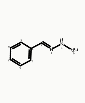 CC(C)(C)N/N=C/c1ccccc1